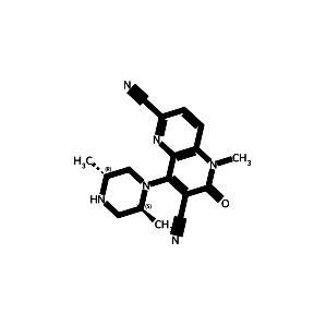 C[C@@H]1CN(c2c(C#N)c(=O)n(C)c3ccc(C#N)nc23)[C@@H](C)CN1